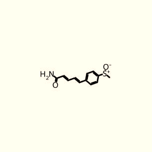 C[S+]([O-])c1ccc(/C=C/C=C/C(N)=O)cc1